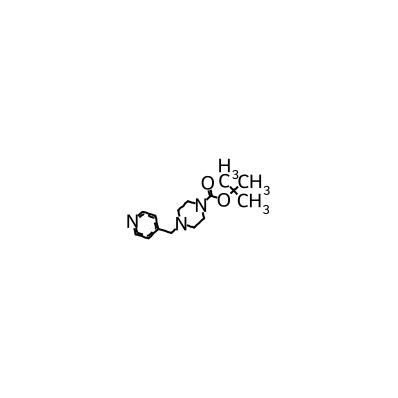 CC(C)(C)OC(=O)N1CCN(Cc2ccncc2)CC1